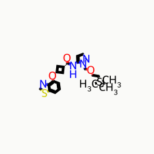 C[Si](C)(C)CCOCn1nccc1NC(=O)[C@H]1C[C@H](Oc2cccc3scnc23)C1